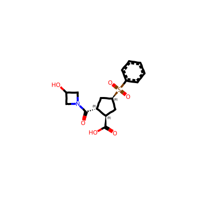 O=C(O)[C@@H]1C[C@H](S(=O)(=O)c2ccccc2)C[C@H]1C(=O)N1CC(O)C1